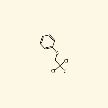 ClC(Cl)(Cl)CSc1ccccc1